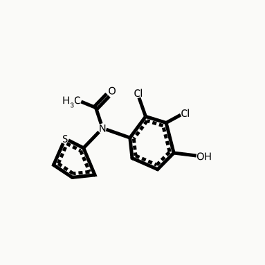 CC(=O)N(c1cccs1)c1ccc(O)c(Cl)c1Cl